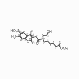 COC(=O)CCCCCN(CCO)C(=O)Cc1c(C)c2cc(S(=O)(=O)O)c(N)cc2oc1=O